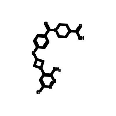 Nc1nnc(Cl)cc1N1CC(Oc2ccc(C(=O)N3CCN(C(=O)O)CC3)cc2)C1